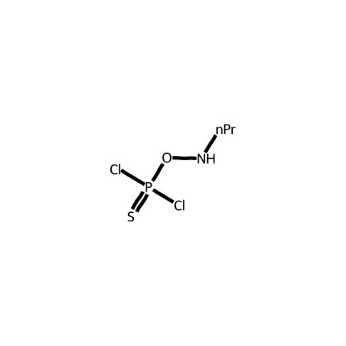 CCCNOP(=S)(Cl)Cl